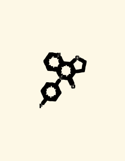 O=c1c2c(c3ncccc3n1-c1ccc(F)cc1)OCC2